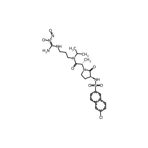 CC(C)N(CCCN/C(N)=[N+](/[O-])N=O)C(=O)[C@H](C)N1CC[C@H](NS(=O)(=O)c2ccc3cc(Cl)ccc3c2)C1=O